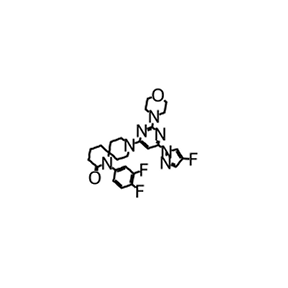 O=C1CCCC2(CCN(c3cc(-n4cc(F)cn4)nc(N4CCOCC4)n3)CC2)N1c1ccc(F)c(F)c1